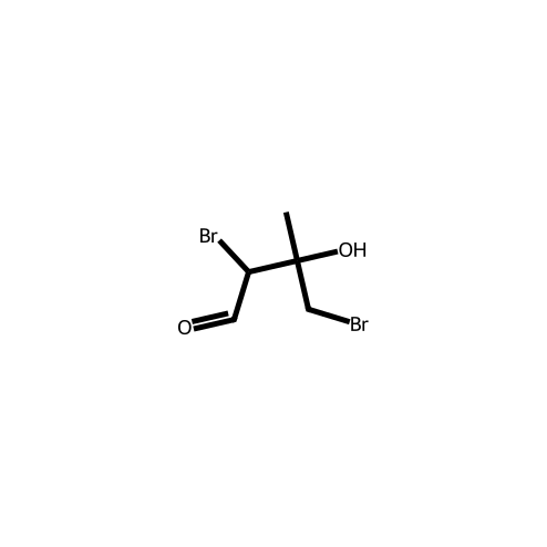 CC(O)(CBr)C(Br)C=O